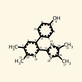 Cc1cc(-c2ccc(O)cc2)c(-c2nc(C)c(C)s2)nc1C